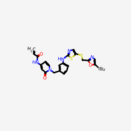 C=CC(=O)Nc1ccn(Cc2cccc(Nc3ncc(SCc4ncc(C(C)(C)C)o4)s3)c2)c(=O)c1